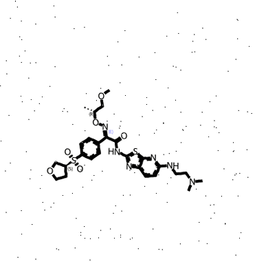 COC[C@@H](C)O/N=C(/C(=O)Nc1nc2ccc(NCCN(C)C)nc2s1)c1ccc(S(=O)(=O)[C@H]2CCOC2)cc1